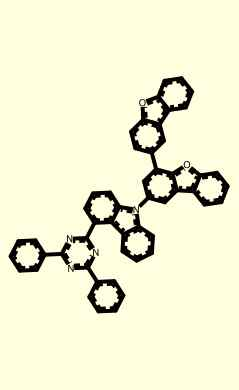 c1ccc(-c2nc(-c3ccccc3)nc(-c3cccc4c3c3ccccc3n4-c3cc(-c4ccc5oc6ccccc6c5c4)c4oc5ccccc5c4c3)n2)cc1